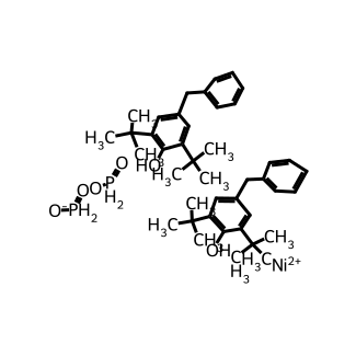 CC(C)(C)c1cc(Cc2ccccc2)cc(C(C)(C)C)c1O.CC(C)(C)c1cc(Cc2ccccc2)cc(C(C)(C)C)c1O.O=[PH2][O-].O=[PH2][O-].[Ni+2]